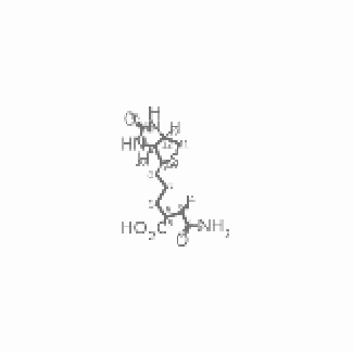 NC(=O)C(I)C(CCC[C@@H]1SC[C@@H]2NC(=O)N[C@@H]21)C(=O)O